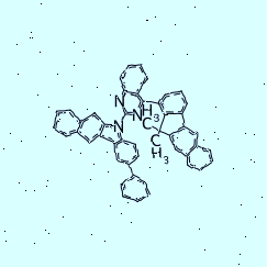 CC1(C)c2cc3ccccc3cc2-c2cccc(-c3nc(-n4c5ccc(-c6ccccc6)cc5c5cc6ccccc6cc54)nc4ccccc34)c21